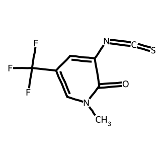 Cn1cc(C(F)(F)F)cc(N=C=S)c1=O